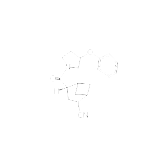 N#CC1C[C@H](C(=O)N2CCC(Oc3ccccc3)C2)C2CC1C2